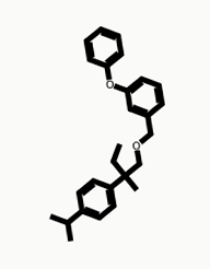 CCC(C)(COCc1cccc(Oc2ccccc2)c1)c1ccc(C(C)C)cc1